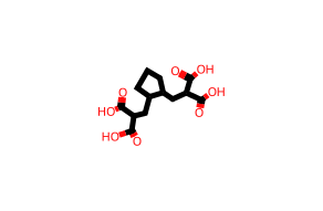 O=C(O)C(CC1CCCC1CC(C(=O)O)C(=O)O)C(=O)O